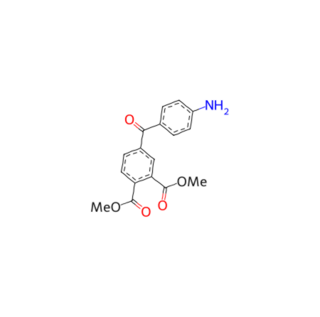 COC(=O)c1ccc(C(=O)c2ccc(N)cc2)cc1C(=O)OC